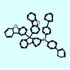 C1=CCCC(c2ccc(N(c3ccc(-c4ccccc4)cc3)c3ccc4c(c3)C(c3ccc5c(c3)C3C=CC=CC3O5)(c3ccc5oc6ccccc6c5c3)c3ccccc3-4)cc2)=C1